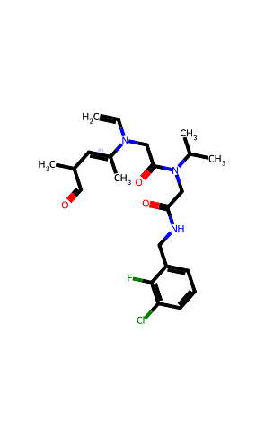 C=CN(CC(=O)N(CC(=O)NCc1cccc(Cl)c1F)C(C)C)/C(C)=C/C(C)C=O